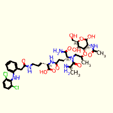 CC(=O)N[C@@H]1[C@@H](OC(C)CN(C(=O)[C@H](C)N)[C@H](CCC(=O)N[C@@H](CCCNC(=O)Cc2ccccc2Nc2c(Cl)cccc2Cl)C(=O)O)C(N)=O)[C@H](O)[C@@H](CO)O[C@@H]1O